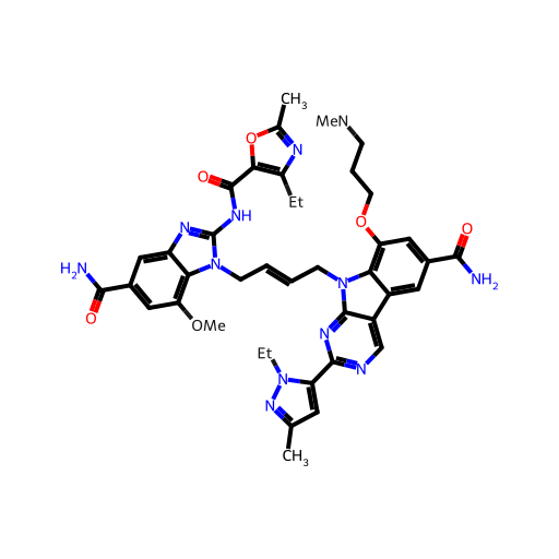 CCc1nc(C)oc1C(=O)Nc1nc2cc(C(N)=O)cc(OC)c2n1C/C=C/Cn1c2nc(-c3cc(C)nn3CC)ncc2c2cc(C(N)=O)cc(OCCCNC)c21